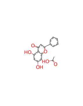 CC(=O)O.O=c1cc(-c2ccccc2)oc2cc(O)cc(O)c12